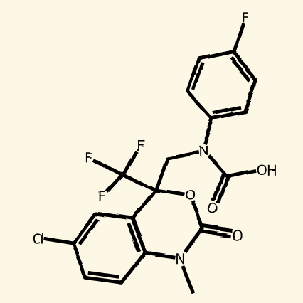 CN1C(=O)OC(CN(C(=O)O)c2ccc(F)cc2)(C(F)(F)F)c2cc(Cl)ccc21